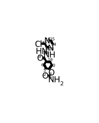 NC(=O)Oc1ccc(C(=O)NNc2nccnc2Cl)cc1